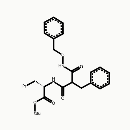 CC(C)C[C@H](NC(=O)C(Cc1ccccc1)C(=O)NOCc1ccccc1)C(=O)OC(C)(C)C